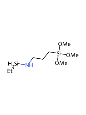 CC[SiH2]NCCC[Si](OC)(OC)OC